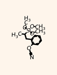 CO[Si](OC)(OC)C(C)Cc1ccccc1OC#N